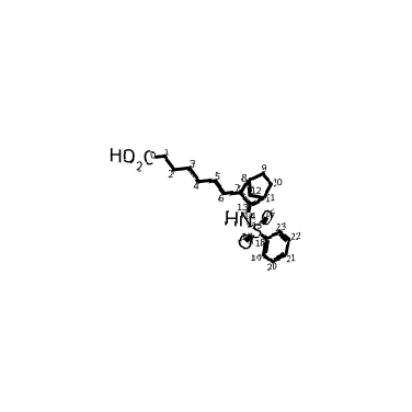 O=C(O)CCCCCCC1C2CCC(C2)C1NS(=O)(=O)c1ccccc1